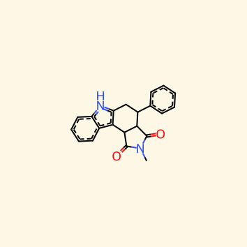 CN1C(=O)C2c3c([nH]c4ccccc34)CC(c3ccccc3)C2C1=O